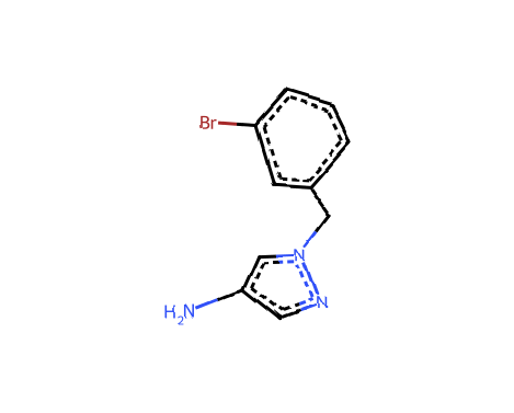 Nc1cnn(Cc2cccc(Br)c2)c1